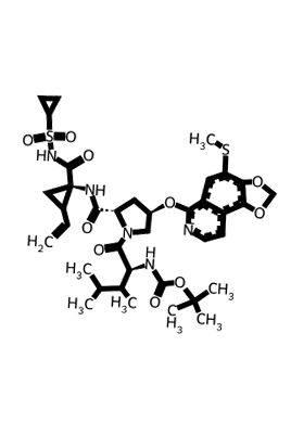 C=CC1C[C@]1(NC(=O)[C@@H]1C[C@@H](Oc2nccc3c4c(c(SC)cc23)OCO4)CN1C(=O)[C@@H](NC(=O)OC(C)(C)C)C(C)C(C)C)C(=O)NS(=O)(=O)C1CC1